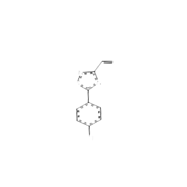 O=Cc1noc(-c2ccc(Cl)cc2)n1